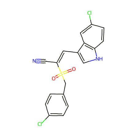 N#C/C(=C/c1c[nH]c2ccc(Cl)cc12)S(=O)(=O)Cc1ccc(Cl)cc1